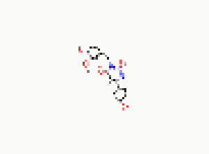 COc1ccc(Cn2c(=O)c(C)c(-c3ccc(O)cc3)n(C)c2=O)cc1OC